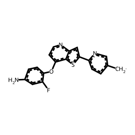 [CH2]c1ccc(-c2cc3nccc(Oc4ccc(N)cc4F)c3s2)nc1